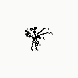 CCCCCCCCCCCCC1(CCCCCCCCCCCC)c2cc(C)sc2-c2c(C#Cc3ccc(C)cc3)c3c(c(C#Cc4ccc(N(c5ccccc5)c5ccccc5)cc4)c21)-c1sc(-c2ccc(-c4c5c(c(-c6ccc(C)s6)c6nsnc46)N=S=N5)s2)cc1C3(CCCCCCCCCCCC)CCCCCCCCCCCC